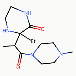 CCC1(C(C)C(=O)N2CCN(C)CC2)NCCNC1=O